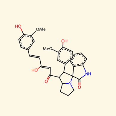 COc1cc(C=CC(O)=CC(=O)C2C3CCCN3C3(C(=O)Nc4ccccc43)C2c2ccc(O)c(OC)c2)ccc1O